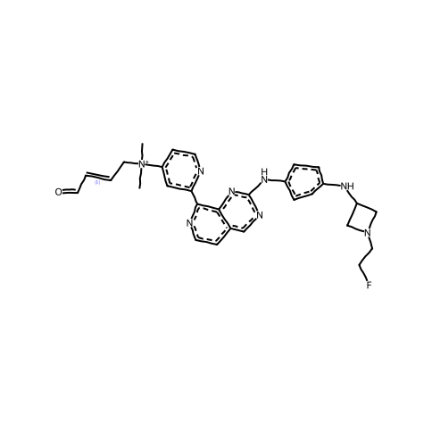 C[N+](C)(C/C=C/C=O)c1ccnc(-c2nccc3cnc(Nc4ccc(NC5CN(CCF)C5)cc4)nc23)c1